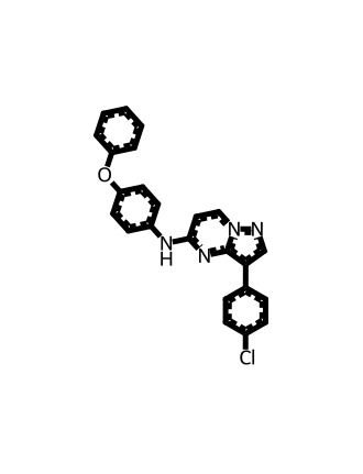 Clc1ccc(-c2cnn3ccc(Nc4ccc(Oc5ccccc5)cc4)nc23)cc1